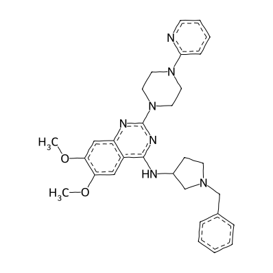 COc1cc2nc(N3CCN(c4ccccn4)CC3)nc(NC3CCN(Cc4ccccc4)C3)c2cc1OC